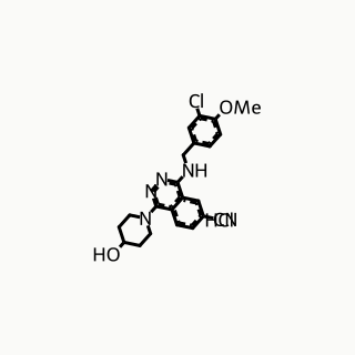 COc1ccc(CNc2nnc(N3CCC(O)CC3)c3ccc(C#N)cc23)cc1Cl.Cl